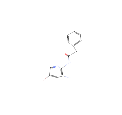 Nc1cc(Br)cnc1NC(=O)Cc1ccccc1